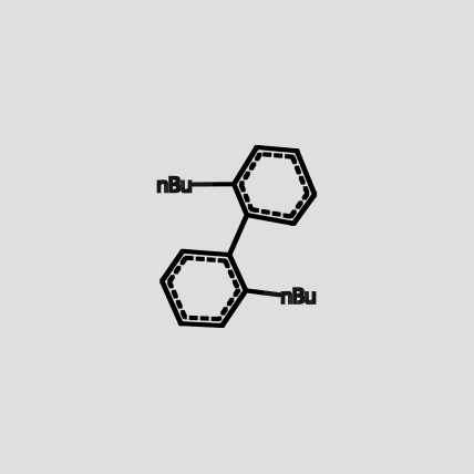 CCCCc1ccccc1-c1ccccc1CCCC